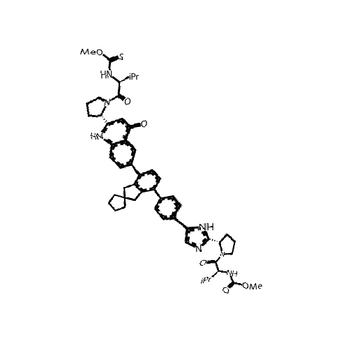 COC(=O)N[C@H](C(=O)N1CCC[C@H]1c1ncc(-c2ccc(-c3ccc(-c4ccc5[nH]c([C@@H]6CCCN6C(=O)[C@@H](NC(=S)OC)C(C)C)cc(=O)c5c4)c4c3CC3(CCCC3)C4)cc2)[nH]1)C(C)C